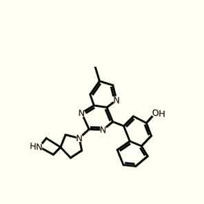 Cc1cnc2c(-c3cc(O)cc4ccccc34)nc(N3CCC4(CNC4)C3)nc2c1